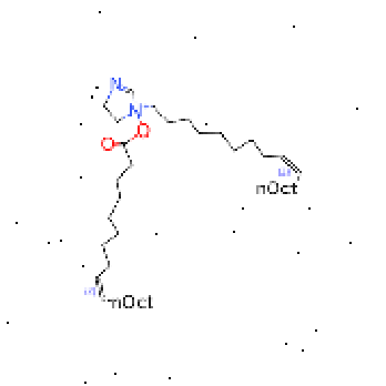 CCCCCCCC/C=C\CCCCCCCC[N+]1(OC(=O)CCCCCCC/C=C\CCCCCCCC)C=NCC1